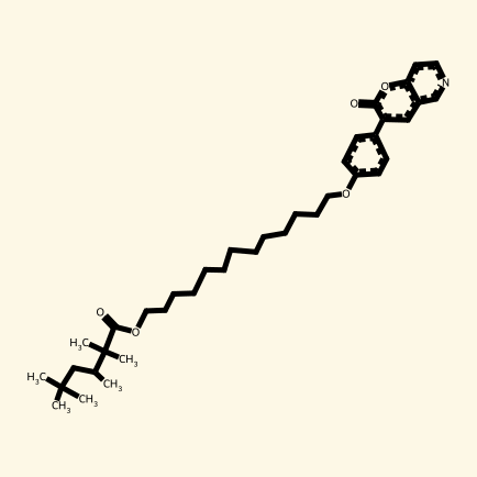 CC(CC(C)(C)C)C(C)(C)C(=O)OCCCCCCCCCCCCCOc1ccc(-c2cc3cnccc3oc2=O)cc1